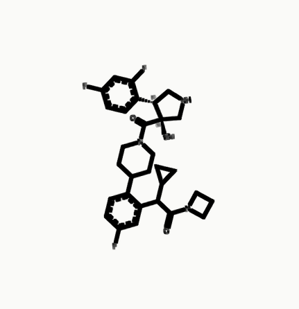 CC(C)(C)[C@]1(C(=O)N2CCC(c3ccc(F)cc3C(C(=O)N3CCC3)C3CC3)CC2)CNC[C@H]1c1ccc(F)cc1F